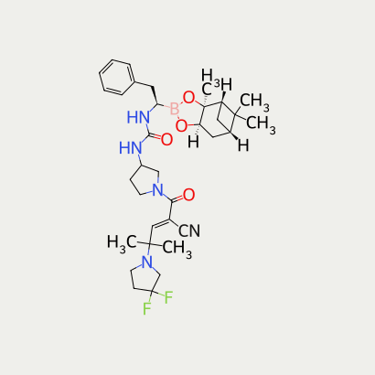 CC1(C)[C@@H]2C[C@H]3OB([C@H](Cc4ccccc4)NC(=O)NC4CCN(C(=O)C(C#N)=CC(C)(C)N5CCC(F)(F)C5)C4)O[C@@]3(C)[C@H]1C2